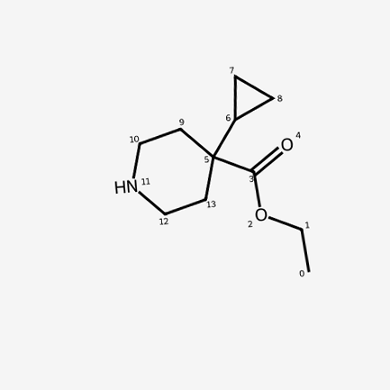 CCOC(=O)C1(C2CC2)CCNCC1